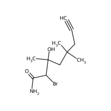 C#CCC(C)(C)CC(C)(O)C(Br)C(N)=O